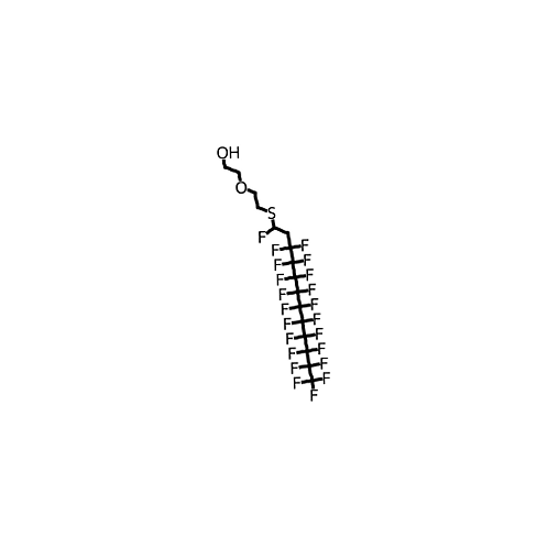 OCCOCCSC(F)CC(F)(F)C(F)(F)C(F)(F)C(F)(F)C(F)(F)C(F)(F)C(F)(F)C(F)(F)C(F)(F)C(F)(F)F